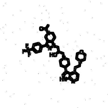 CC(=O)N1CCc2c(c(-c3ccc(C(F)(F)F)cc3)nn2CC(O)CN2CCC(c3c[nH]c4nccc(CCN5CCOCC5)c34)CC2)C1